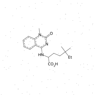 CCC(C)(C)CCC(Nc1nc(=O)n(C)c2ccccc12)C(=O)O